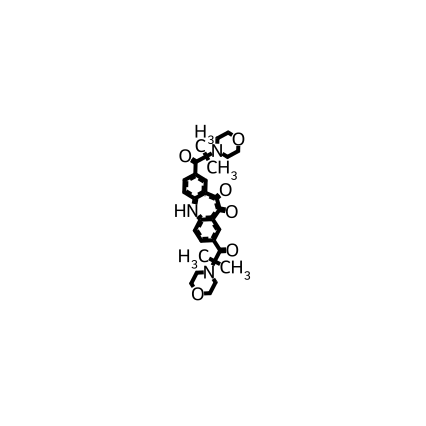 CC(C)(C(=O)c1ccc2[nH]c3ccc(C(=O)C(C)(C)N4CCOCC4)cc3c(=O)c(=O)c2c1)N1CCOCC1